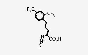 [N-]=[N+]=NC(=CCCc1ccc(C(F)(F)F)cc1C(F)(F)F)C(=O)O